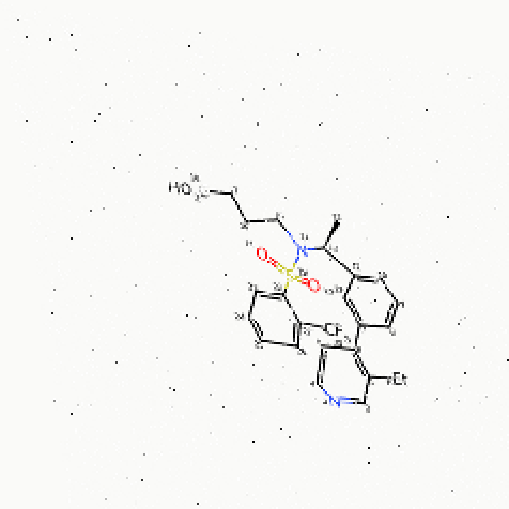 CCc1cnccc1-c1cccc([C@H](C)N(CCCC(=O)O)S(=O)(=O)c2ccccc2C(F)(F)F)c1